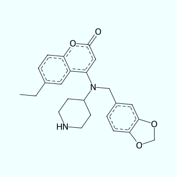 CCc1ccc2oc(=O)cc(N(Cc3ccc4c(c3)OCO4)C3CCNCC3)c2c1